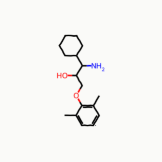 Cc1c[c]cc(C)c1OCC(O)C(N)C1CCCCC1